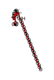 CCC1=CC(C)(C)N(CCCCCC(=O)ON2C(=O)CCC2=O)c2cc3c(cc21)C(C(F)(F)F)=c1cc2c(cc1O3)=[N+](CCCCCC(=O)NCCOCCOCCOCCOCCOCCOCCOCCOCCOCCOCCOCCOCCOCCOCCOCCOCCOCCOCCOCCOCCOCCOCCOCCOC)C(C)(C)C=C2CS(=O)(=O)[O-]